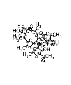 CC[C@@H](O)[C@@](C)(O)[C@@H]1OC(=O)[C@H](C)[C@@H](O[C@H]2CC(C)(OC)[C@@H](O)C(C)O2)[C@H](C)[C@@H](O[C@@H]2OC(C)CC(N(C)C(C)=O)C2O)[C@@]2(C)CC(C)C(O2)[C@@H]1C